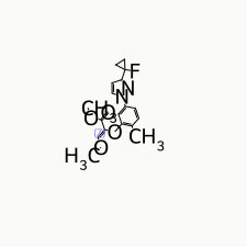 CO/C=C(\Oc1cc(-n2ccc(C3(F)CC3)n2)ccc1C)C(=O)OC